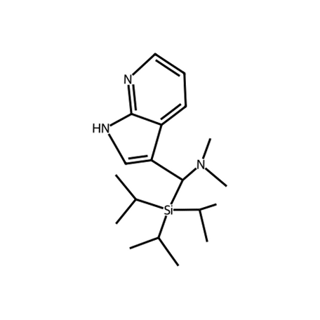 CC(C)[Si](C(C)C)(C(C)C)C(c1c[nH]c2ncccc12)N(C)C